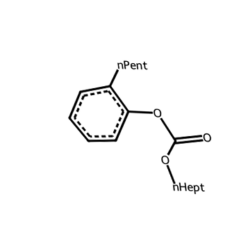 CCCCCCCOC(=O)Oc1ccccc1CCCCC